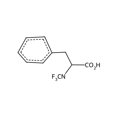 O=C(O)C(Cc1ccccc1)NC(F)(F)F